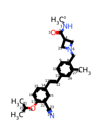 CNC(=O)C1CN(Cc2ccc(/C=C/c3ccc(OC(C)C)c(C#N)c3)cc2C)C1